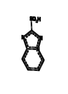 O=S(=O)(O)c1nc2ccccn2n1